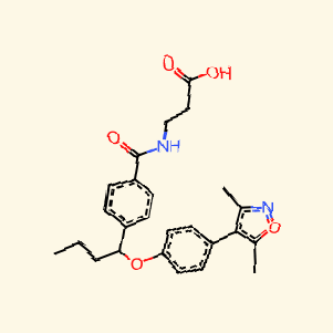 CCCC(Oc1ccc(-c2c(C)noc2C)cc1)c1ccc(C(=O)NCCC(=O)O)cc1